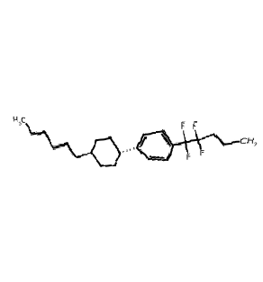 CCCCCC[C@H]1CC[C@H](c2ccc(C(F)(F)C(F)(F)CCC)cc2)CC1